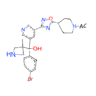 CC(=O)N1CCC(c2nc(-c3cncc(C(O)(c4ccc(Br)cc4)C4(C)CNC4)c3)no2)CC1